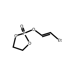 CCC=COP1(=O)OCCO1